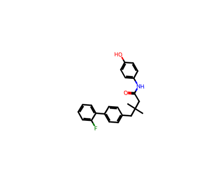 CC(C)(CC(=O)Nc1ccc(O)cc1)Cc1ccc(-c2ccccc2F)cc1